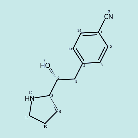 N#Cc1ccc(C[C@@H](O)[C@@H]2CCCN2)cc1